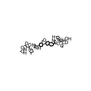 COC(=O)N[C@H](C(=O)N1CC(C)C[C@H]1c1ncc(-c2ccc3c(c2)COc2cc4c(ccc5nc([C@@H]6CC[C@H](C)N6C(=O)[C@@H](NC(=O)O)[C@@H](C)OC)[nH]c54)cc2-3)[nH]1)C(C)OC